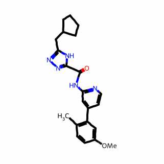 COc1ccc(C)c(-c2ccnc(NC(=O)c3nnc(CC4CCCC4)[nH]3)c2)c1